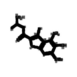 COc1cc2sc(C(=O)CC(C)C(=O)O)c(C)c2c([N+](=O)[O-])c1O